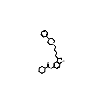 O=C(Oc1ccc2[nH]cc(CCCCN3CCN(c4ccccc4)CC3)c2c1)N1CCCCC1